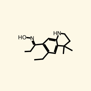 CC/C(=N\O)c1cc2c(cc1CC)C(C)(C)CCN2